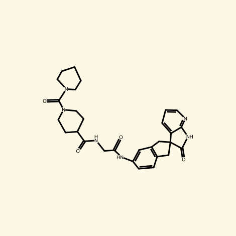 O=C(CNC(=O)C1CCN(C(=O)N2CCCCC2)CC1)Nc1ccc2c(c1)CC1(C2)C(=O)Nc2ncccc21